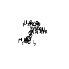 CCCCC1(CC)CS(=O)(=O)c2ccc(N(C)C)cc2C(c2cccc(NC(=O)COCCOC(C)(OC)C(N)=O)c2)C1O